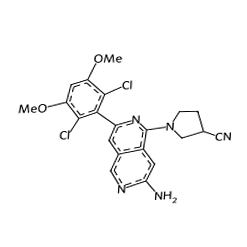 COc1cc(OC)c(Cl)c(-c2cc3cnc(N)cc3c(N3CCC(C#N)C3)n2)c1Cl